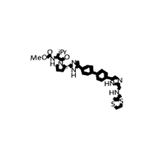 COC(=O)NC(C(=O)N1CCC[C@H]1c1ncc(-c2ccc(-c3ccc(-c4cnc(CNCC5(C)SCCS5)[nH]4)cc3)cc2)[nH]1)C(C)C